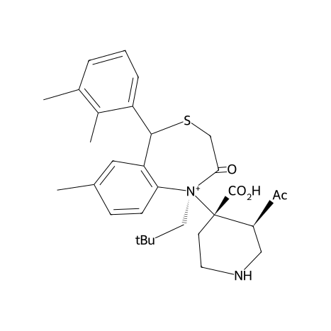 CC(=O)[C@H]1CNCC[C@]1(C(=O)O)[N@+]1(CC(C)(C)C)C(=O)CSC(c2cccc(C)c2C)c2cc(C)ccc21